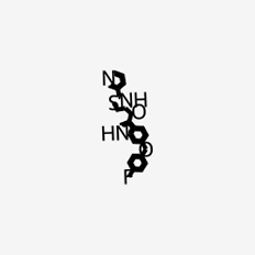 O=C(c1c[nH]c2cc(Oc3ccc(F)cc3)ccc12)C1CSC(c2cccnc2)N1